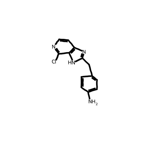 Nc1ccc(Cc2nc3ccnc(Cl)c3[nH]2)cc1